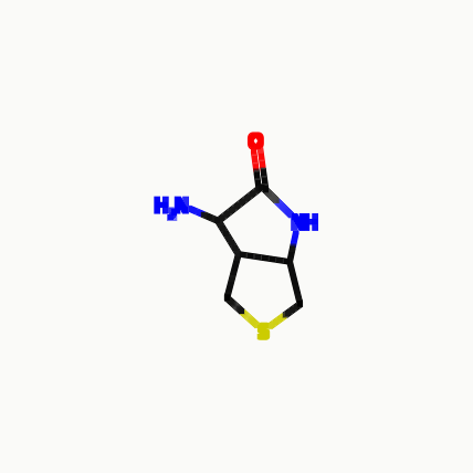 NC1C(=O)NC2CSCC21